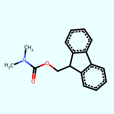 CN(C)C(=O)OCC1c2ccccc2-c2ccccc21